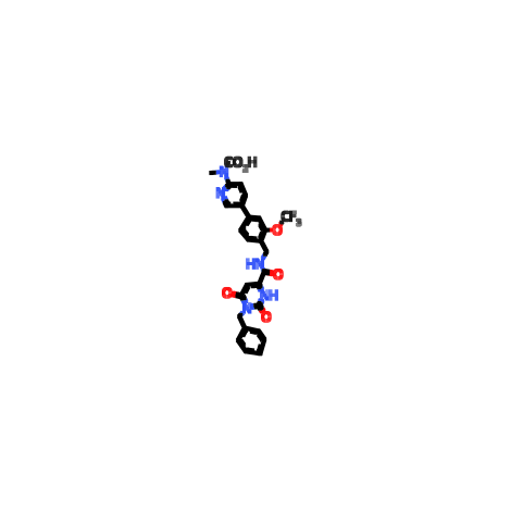 CN(C(=O)O)c1ccc(-c2ccc(CNC(=O)c3cc(=O)n(Cc4ccccc4)c(=O)[nH]3)c(OC(F)(F)F)c2)cn1